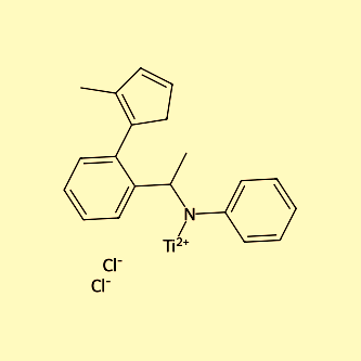 CC1=C(c2ccccc2C(C)[N]([Ti+2])c2ccccc2)CC=C1.[Cl-].[Cl-]